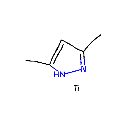 Cc1cc(C)[nH]n1.[Ti]